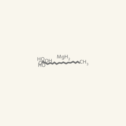 CCCCCCCCCCCCCCCCC(O)(O)C(=O)O.[MgH2]